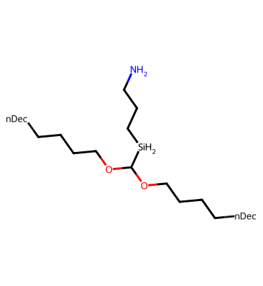 CCCCCCCCCCCCCCOC(OCCCCCCCCCCCCCC)[SiH2]CCCN